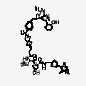 Cc1ncsc1-c1ccc(CNC(=O)[C@@H]2C[C@@H](O)CN2C(=O)[C@@H](NC(=O)CCN2CC3=C(C2)CN(C(=O)c2ccc(CCOc4cc(-c5ccccc5O)nnc4N)cc2)C3)C(C)(C)C)cc1